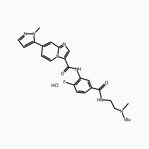 CN(CCNC(=O)c1ccc(F)c(NC(=O)c2cnc3cc(-c4ccnn4C)ccn23)c1)C(C)(C)C.Cl